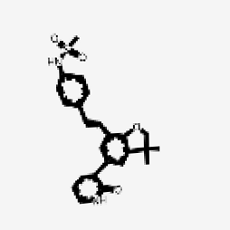 CC1(C)COc2c(C=Cc3ccc(NS(C)(=O)=O)cc3)cc(-c3ccc[nH]c3=O)cc21